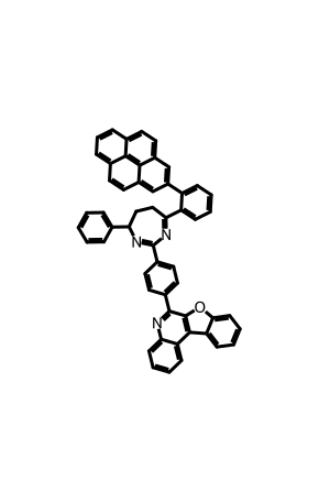 c1ccc(C2CCC(c3ccccc3-c3cc4ccc5cccc6ccc(c3)c4c56)=NC(c3ccc(-c4nc5ccccc5c5c4oc4ccccc45)cc3)=N2)cc1